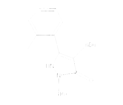 CCCCc1c(-c2ccccc2C)[nH]n(C(C)(C)C)c1=O